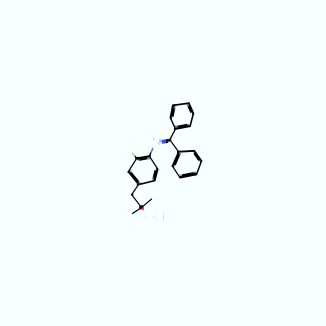 CC(C)(O)Cc1ccc(N=C(c2ccccc2)c2ccccc2)c(F)c1